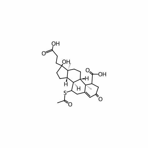 CC(=O)SC1CC2=CC(=O)CC(C(=O)O)[C@]2(C)[C@H]2CC[C@@]3(C)[C@@H](CC[C@]3(O)CCC(=O)O)[C@H]12